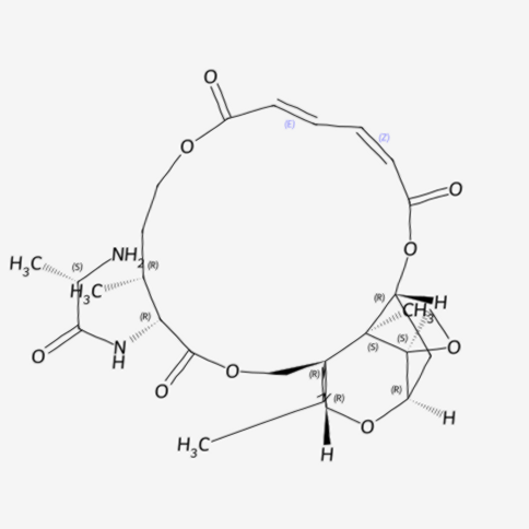 CC1=C[C@H]2O[C@@H]3C[C@H]4OC(=O)/C=C\C=C\C(=O)OCC[C@@H](C)[C@@H](NC(=O)[C@H](C)N)C(=O)OC[C@@]2(CC1)[C@]4(C)[C@]31CO1